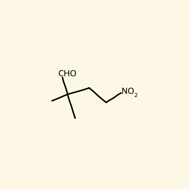 CC(C)(C=O)CC[N+](=O)[O-]